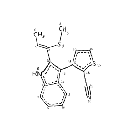 C/C=C(\SC)c1[nH]c2ccccc2c1-c1ccsc1C#N